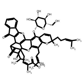 COC(=O)/C(C)=C\CC1(O)C(=O)C2CC(C(C)C)C13Oc1c(CC=C(C)C)c4c(c(O[C@H]5O[C@@H](CO)[C@H](O)[C@@H](O)[C@@H]5O)c1C1=C3C2C2=C(O1)c1ccccc1C2=O)C=CC(C)(CCC=C(C)C)O4